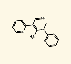 CN(/C(N)=C(\C=N)c1ccccn1)c1ncccn1